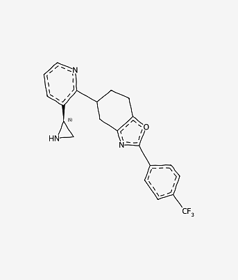 FC(F)(F)c1ccc(-c2nc3c(o2)CCC(c2ncccc2[C@H]2CN2)C3)cc1